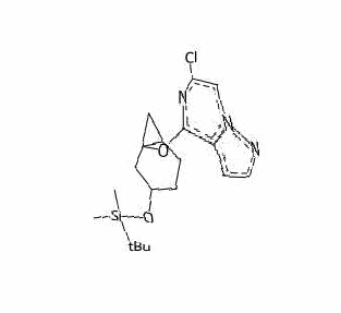 CC(C)(C)[Si](C)(C)OC1CCC2CC2(Oc2nc(Cl)cn3nccc23)C1